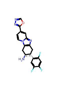 N[C@H]1Cc2c(nc3cc(-c4nnco4)ccn23)C[C@@H]1c1cc(F)c(F)cc1F